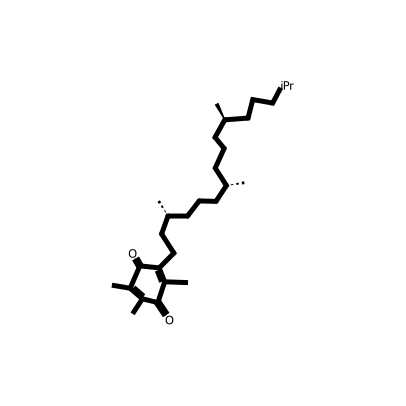 CC1=C(C)C(=O)C(CC[C@H](C)CCC[C@@H](C)CCC[C@@H](C)CCCC(C)C)=C(C)C1=O